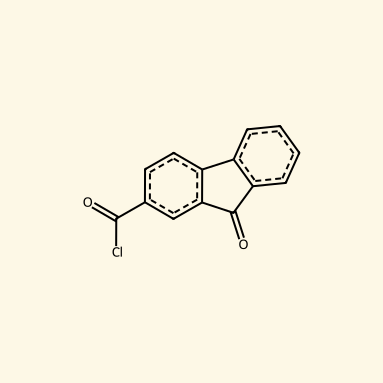 O=C(Cl)c1ccc2c(c1)C(=O)c1ccccc1-2